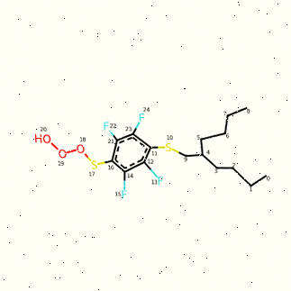 CCCCC(CCCC)CSc1c(F)c(F)c(SOOO)c(F)c1F